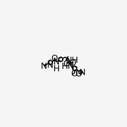 COc1cc(NC(=O)C(=O)NC(C)(C)Cc2ccc(NC(=O)c3ccc(C#N)nc3)cc2)ccc1-c1cnco1